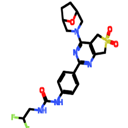 O=C(NCC(F)F)Nc1ccc(-c2nc3c(c(N4CC5CCC(C4)O5)n2)CS(=O)(=O)C3)cc1